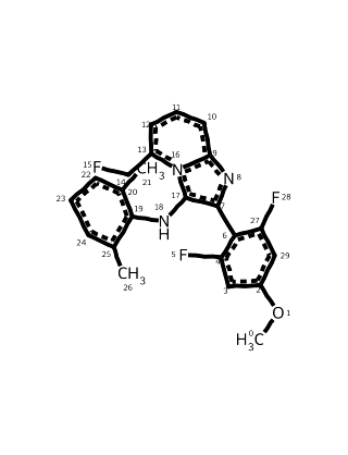 COc1cc(F)c(-c2nc3cccc(CF)n3c2Nc2c(C)cccc2C)c(F)c1